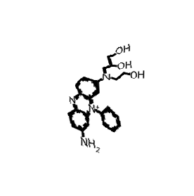 Nc1ccc2nc3ccc(N(CCO)CC(O)CO)cc3[n+](-c3ccccc3)c2c1